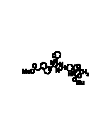 COC(=O)Cc1cccc2c1CCCN2c1nn(C2CCCCO2)c2nc(N3CCC4(CC3)CO[C@@H](C)[C@H]4NC(=O)OC(C)(C)C)cnc12